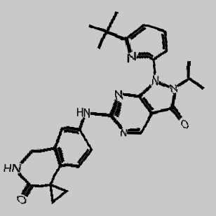 CC(C)n1c(=O)c2cnc(Nc3ccc4c(c3)CNC(=O)C43CC3)nc2n1-c1cccc(C(C)(C)C)n1